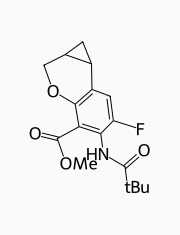 COC(=O)c1c(NC(=O)C(C)(C)C)c(F)cc2c1OCC1CC21